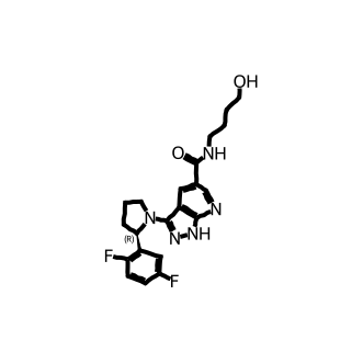 O=C(NCCCCO)c1cnc2[nH]nc(N3CCC[C@@H]3c3cc(F)ccc3F)c2c1